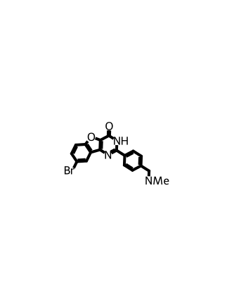 CNCc1ccc(-c2nc3c(oc4ccc(Br)cc43)c(=O)[nH]2)cc1